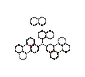 c1ccc(-c2cccc3cccc(-c4ccc(N(c5cccc(-c6cccc7cccc(-c8ccccc8)c67)c5)c5ccc(-c6cccc7ccccc67)c6ccccc56)cc4)c23)cc1